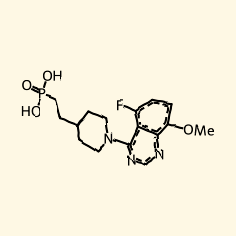 COc1ccc(F)c2c(N3CCC(CCP(=O)(O)O)CC3)ncnc12